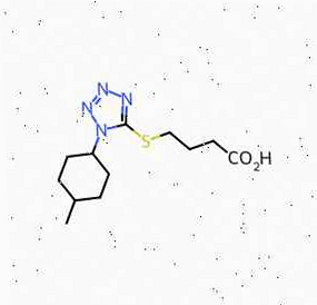 CC1CCC(n2nnnc2SCCCC(=O)O)CC1